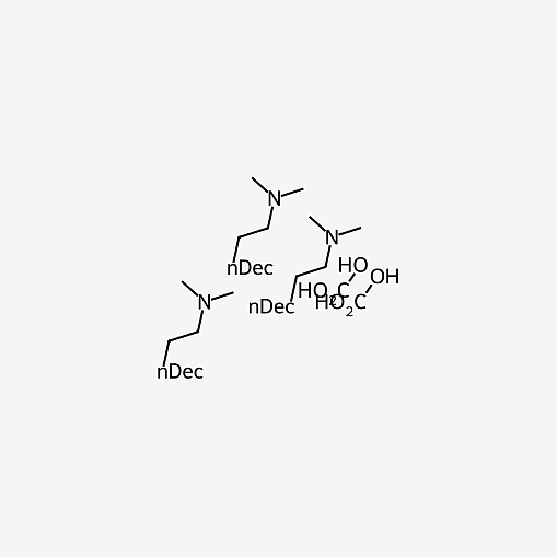 CCCCCCCCCCCCN(C)C.CCCCCCCCCCCCN(C)C.CCCCCCCCCCCCN(C)C.O=C(O)O.O=C(O)O